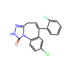 O=c1[nH]nc2n1-c1ccc(Cl)cc1C(c1ccccc1F)=CC2